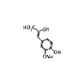 COc1cc(C=C(S)C(=O)O)ccc1O